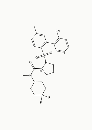 Cc1ccc(S(=O)(=O)N2CCC[C@H]2C(=O)N(C)C2CCC(F)(F)CC2)c(-c2cnccc2C#N)c1